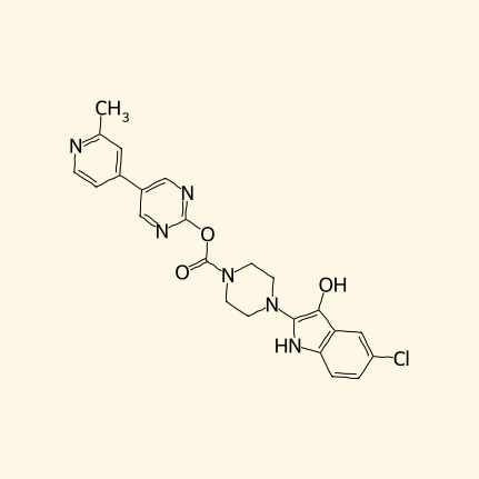 Cc1cc(-c2cnc(OC(=O)N3CCN(c4[nH]c5ccc(Cl)cc5c4O)CC3)nc2)ccn1